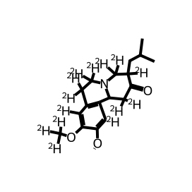 [2H]c1c(OC)c(OC([2H])([2H])[2H])c([2H])c2c1C1N(C([2H])([2H])C([2H])(CC(C)C)C(=O)C1([2H])[2H])C([2H])([2H])C2([2H])[2H]